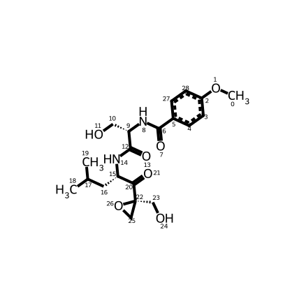 COc1ccc(C(=O)N[C@@H](CO)C(=O)N[C@@H](CC(C)C)C(=O)[C@@]2(CO)CO2)cc1